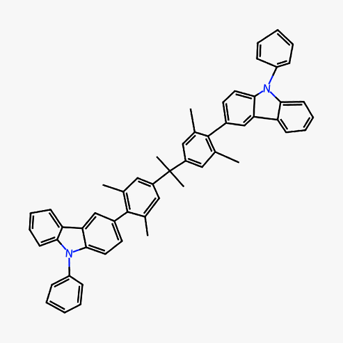 Cc1cc(C(C)(C)c2cc(C)c(-c3ccc4c(c3)c3ccccc3n4-c3ccccc3)c(C)c2)cc(C)c1-c1ccc2c(c1)c1ccccc1n2-c1ccccc1